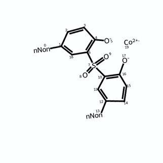 CCCCCCCCCc1ccc([O-])c(S(=O)(=O)c2cc(CCCCCCCCC)ccc2[O-])c1.[Co+2]